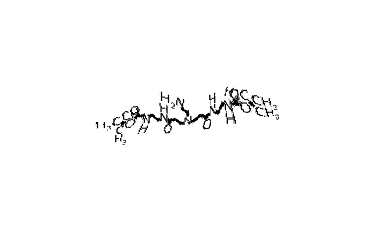 CC(C)(C)OC(=O)NCCNC(=O)CCN(CCN)CCC(=O)NCCNC(=O)OC(C)(C)C